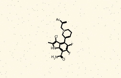 C=C(CN1CCC=C(c2c(F)c(F)c(C(N)=O)c3[nH]c(C)c(Cl)c23)C1)C(C)=O